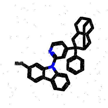 COc1ccc2c3ccccc3n(-c3cc(C4(c5ccccc5)CC5CCC6CC5CC4C6)ccn3)c2c1